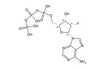 Nc1ncnc2c1ncn2[C@@H]1O[C@H](COP(=O)(O)OP(=O)(O)OP(=O)(O)O)[C@H](O)[C@@H]1F